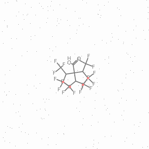 O=C(O)C(C(C(F)(F)F)C(F)(F)F)(C(C(F)(F)F)C(F)(F)F)C(C(F)(F)F)C(F)(F)F